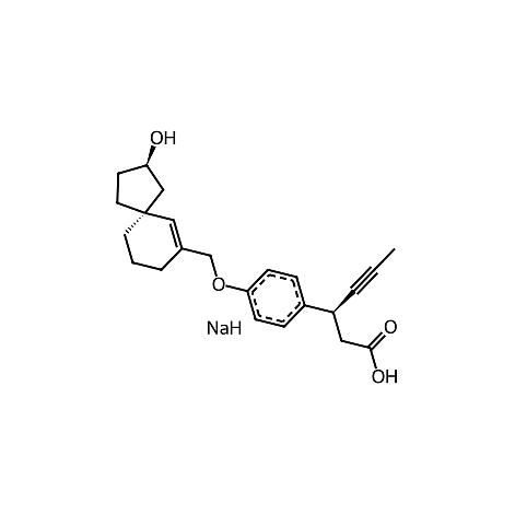 CC#C[C@@H](CC(=O)O)c1ccc(OCC2=C[C@@]3(CCC2)CC[C@@H](O)C3)cc1.[NaH]